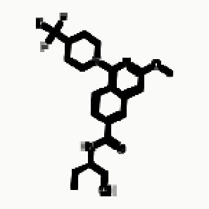 CC[C@H](CO)NC(=O)c1ccc2c(N3CCC(C(F)(F)F)CC3)nc(OC)cc2c1